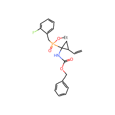 C=CC1CC1(NC(=O)OCc1ccccc1)P(=O)(Cc1ccccc1F)OCC